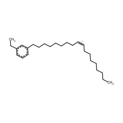 CCCCCCCC/C=C\CCCCCCCCc1[c]ccc(CC)c1